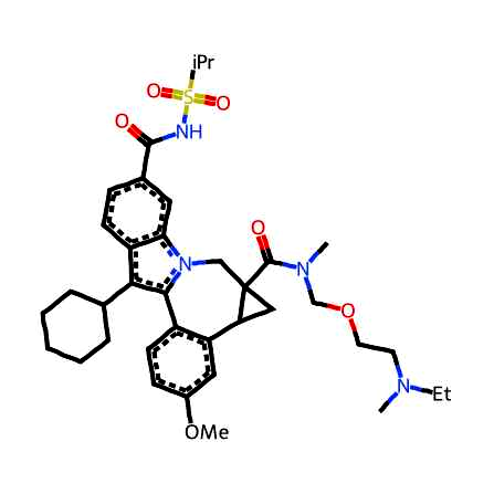 CCN(C)CCOCN(C)C(=O)C12CC1c1cc(OC)ccc1-c1c(C3CCCCC3)c3ccc(C(=O)NS(=O)(=O)C(C)C)cc3n1C2